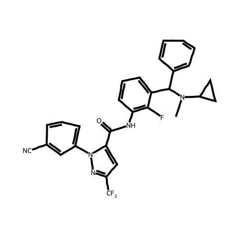 CN(C1CC1)C(c1ccccc1)c1cccc(NC(=O)c2cc(C(F)(F)F)nn2-c2cccc(C#N)c2)c1F